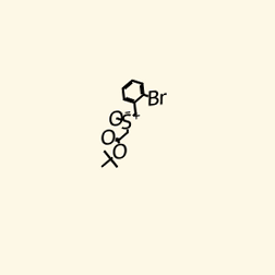 CC(C)(C)OC(=O)C[S+]([O-])Cc1ccccc1Br